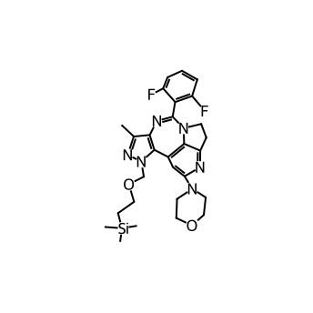 Cc1nn(COCC[Si](C)(C)C)c2c1N=C(c1c(F)cccc1F)N1CCc3nc(N4CCOCC4)cc-2c31